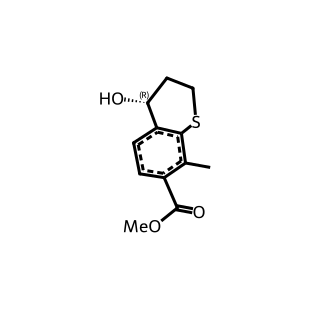 COC(=O)c1ccc2c(c1C)SCC[C@H]2O